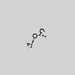 COc1ccn2c(C(N)=O)nc(-c3cccc(C#C[C@@]4(O)C(=O)N(C)[C@@H]5[C@H](C)[C@@H]54)c3)c2c1